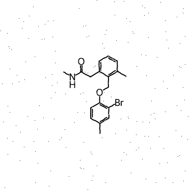 CNC(=O)Cc1cccc(C)c1COc1ccc(C)cc1Br